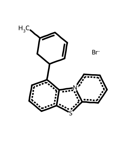 CC1=CC=CC(c2cccc3sc4cccc[n+]4c23)C1.[Br-]